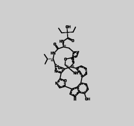 CCC(O)(CC)C(=O)N[C@H]1Cc2ccc3c(c2)[C@]24c5cccc(c5NC2O3)-c2ccc(O)c3[nH]cc(c23)-c2cnc(o2)-c2nc(oc24)[C@H](C(C)C)NC1=O